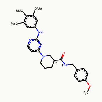 COc1cc(Nc2nccc(N3CCC[C@H](C(=O)NCc4ccc(OC(F)(F)F)cc4)C3)n2)cc(OC)c1OC